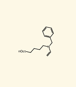 C=CN(CCCCCCCCCCCC)Cc1ccccc1